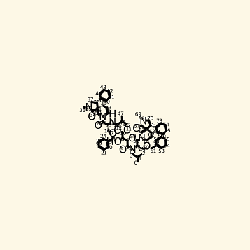 CC(C)CN(C(=O)CC(O)C(=O)OC(N[C@H](COCc1ccccc1)C(=O)N1CCC[C@]2(C1)C(=O)N(C)C[C@@H]2c1ccccc1)C(C)C)[C@H](COCc1ccccc1)C(=O)N1CCC[C@]2(C1)C(=O)N(C)C[C@@H]2c1ccccc1